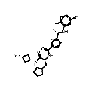 Cc1ncc(Cl)cc1N[C@@H](C)c1ccc(C(=O)N[C@@H](CC2CCCC2)C(=O)N[C@H]2C[C@@H](C#N)C2)s1